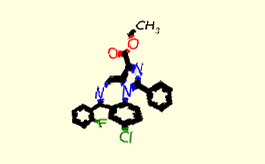 CCOC(=O)c1nc(-c2ccccc2)n2c1CN=C(c1ccccc1F)c1cc(Cl)ccc1-2